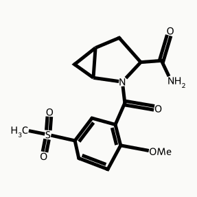 COc1ccc(S(C)(=O)=O)cc1C(=O)N1C(C(N)=O)CC2CC21